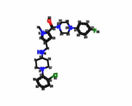 Cn1cc(CNC2CCN(c3ccccc3Cl)CC2)cc1C(=O)N1CCN(c2ccc(F)cc2)CC1